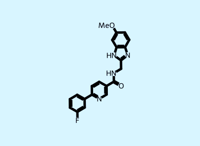 COc1ccc2nc(CNC(=O)c3ccc(-c4cccc(F)c4)nc3)[nH]c2c1